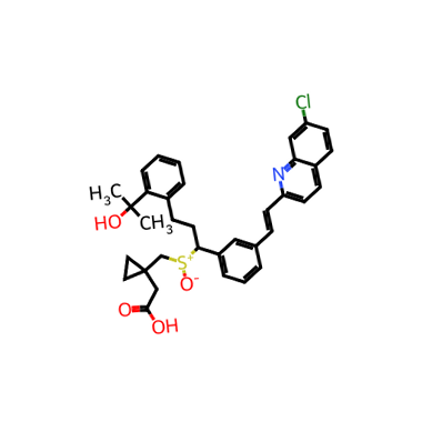 CC(C)(O)c1ccccc1CCC(c1cccc(/C=C/c2ccc3ccc(Cl)cc3n2)c1)[S+]([O-])CC1(CC(=O)O)CC1